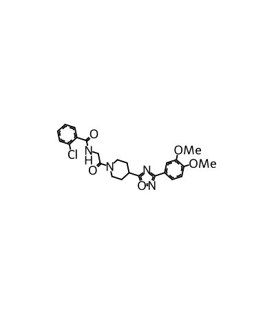 COc1ccc(-c2noc(C3CCN(C(=O)CNC(=O)c4ccccc4Cl)CC3)n2)cc1OC